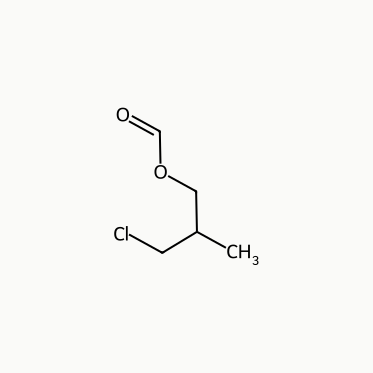 CC(CCl)COC=O